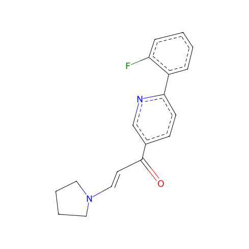 O=C(C=CN1CCCC1)c1ccc(-c2ccccc2F)nc1